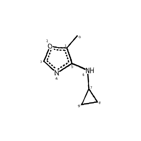 Cc1ocnc1NC1CC1